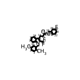 Cc1ccc(C)c(Cn2c(C(F)F)c(CCC(=O)NCc3cccc(F)c3)c3ccccc32)c1